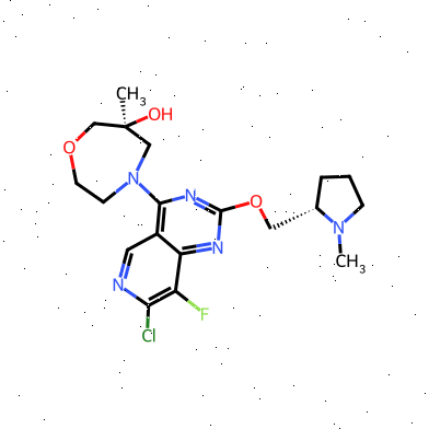 CN1CCC[C@H]1COc1nc(N2CCOC[C@@](C)(O)C2)c2cnc(Cl)c(F)c2n1